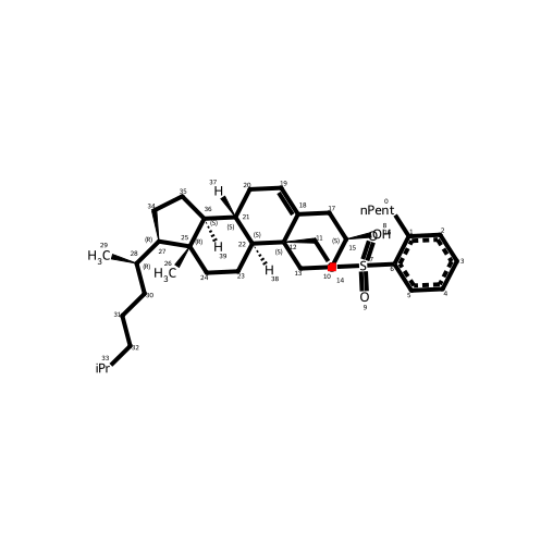 CCCCCc1ccccc1S(=O)(=O)OC[C@]12CC[C@H](O)CC1=CC[C@@H]1[C@@H]2CC[C@]2(C)[C@@H]([C@H](C)CCCC(C)C)CC[C@@H]12